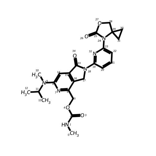 CNC(=O)OCc1nc(N(C)C(C)C)cc2c1CN(c1cccc(N3C(=O)OCC34CC4)n1)C2=O